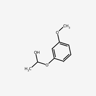 COc1cc[c]c(OC(C)O)c1